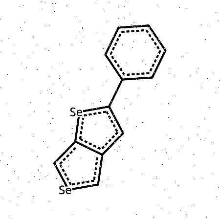 c1ccc(-c2cc3c[se]cc3[se]2)cc1